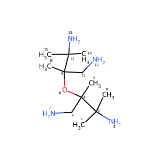 CC(C)(N)C(C)(CN)OC(C)(CN)C(C)(C)N